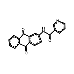 O=C(Nc1ccc2c(c1)C(=O)c1ccccc1C2=O)c1cccnc1